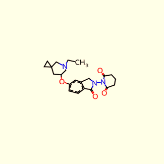 CCN1CC(Oc2ccc3c(c2)CN(N2C(=O)CCCC2=O)C3=O)CC2(CC2)C1